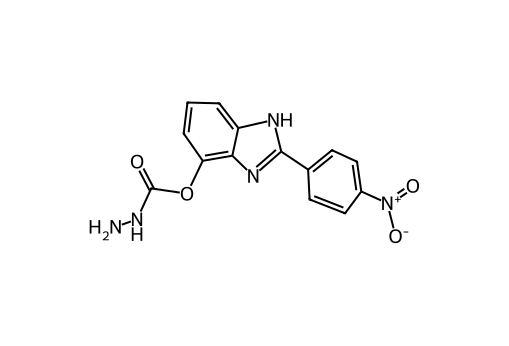 NNC(=O)Oc1cccc2[nH]c(-c3ccc([N+](=O)[O-])cc3)nc12